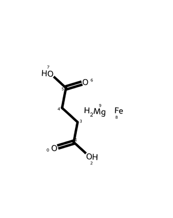 O=C(O)CCC(=O)O.[Fe].[MgH2]